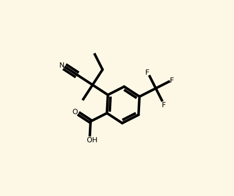 CCC(C)(C#N)c1cc(C(F)(F)F)ccc1C(=O)O